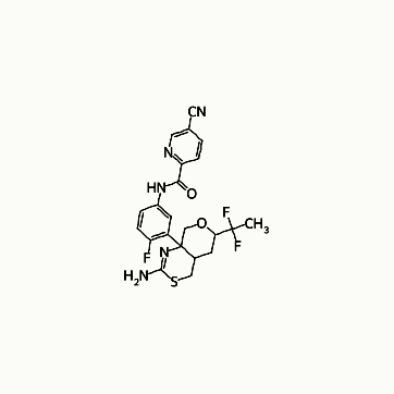 CC(F)(F)C1CC2CSC(N)=NC2(c2cc(NC(=O)c3ccc(C#N)cn3)ccc2F)CO1